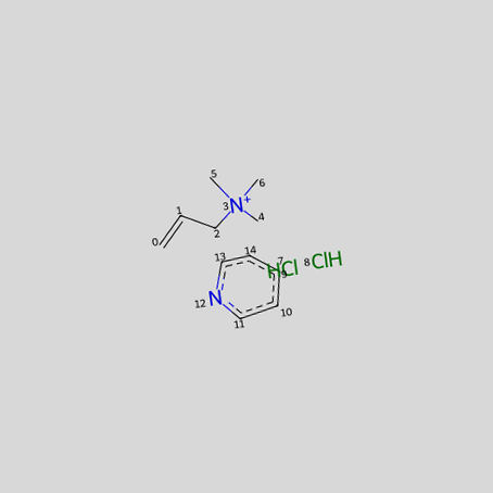 C=CC[N+](C)(C)C.Cl.Cl.c1ccncc1